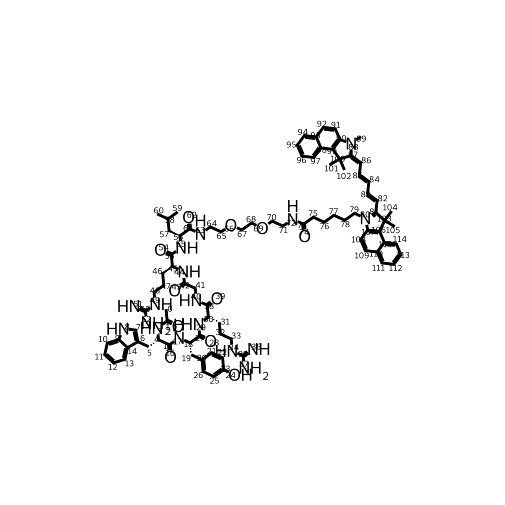 CC(=O)N[C@@H](Cc1c[nH]c2ccccc12)C(=O)N[C@@H](Cc1ccc(O)cc1)C(=O)N[C@@H](CCCNC(=N)N)C(=O)NCC(=O)N[C@@H](CCCNC(=N)N)C(=O)N[C@@H](CC(C)C)C(=O)NCCOCCOCCNC(=O)CCCCC[N+]1=C(/C=C/C=C/C=C2/N(C)c3ccc4ccccc4c3C2(C)C)C(C)(C)c2c1ccc1ccccc21